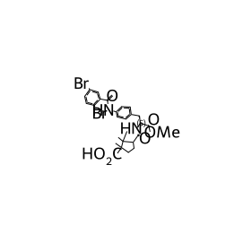 COC(=O)[C@H](Cc1ccc(NC(=O)c2cc(Br)ccc2Br)cc1)NC(=O)C1CCC(C)(C(=O)O)C1(C)C